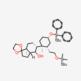 CC(C)(C)[Si](C)(C)OCC[C@H]1C[C@@H](O[Si](c2ccccc2)(c2ccccc2)C(C)(C)C)CC[C@]1(C)[C@H]1CC[C@@]2(C)[C@@H](CCC23OCCO3)[C@@H]1O